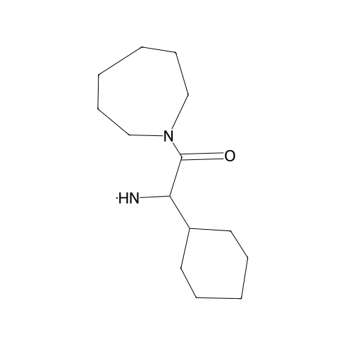 [NH]C(C(=O)N1CCCCCC1)C1CCCCC1